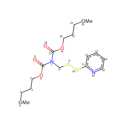 COCCCOC(=O)N(CSSc1ccccn1)C(=O)OCCCOC